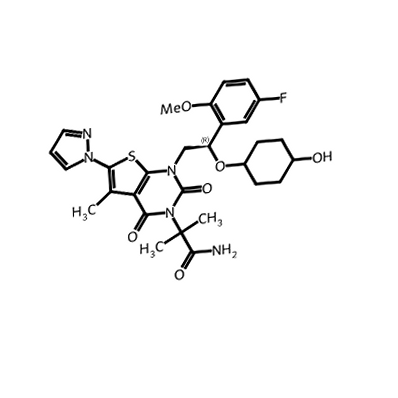 COc1ccc(F)cc1[C@H](Cn1c(=O)n(C(C)(C)C(N)=O)c(=O)c2c(C)c(-n3cccn3)sc21)OC1CCC(O)CC1